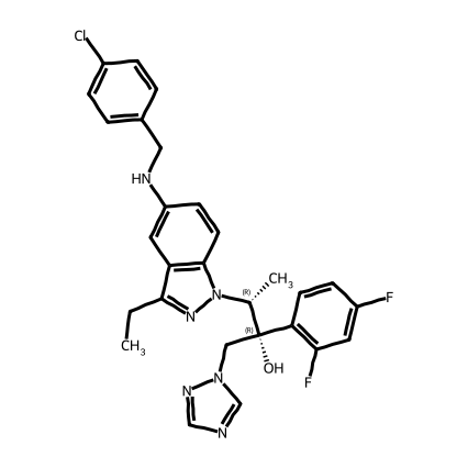 CCc1nn([C@H](C)[C@](O)(Cn2cncn2)c2ccc(F)cc2F)c2ccc(NCc3ccc(Cl)cc3)cc12